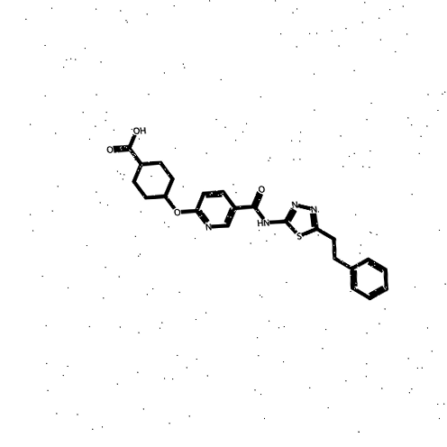 O=C(Nc1nnc(CCc2ccccc2)s1)c1ccc(OC2CCC(C(=O)O)CC2)nc1